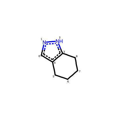 [c]1n[nH]c2c1CCCC2